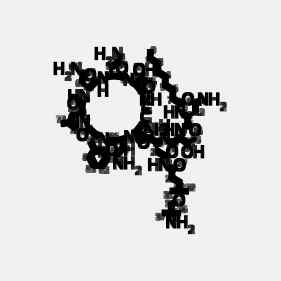 CCCCCCCCC(=O)N[C@@H](CCN)C(=O)N[C@H](C(=O)N[C@@H](CCNC(=O)CCC(C)(C)OCC(C)(C)N)C(=O)N[C@H]1CCNC(=O)[C@H]([C@@H](C)O)NC(=O)[C@H](CCN)NC(=O)[C@H](CCN)NC(=O)[C@H](CC(C)C)NC(=O)[C@@H](Cc2ccccc2)NC(=O)[C@H](CCN)NC1=O)[C@@H](C)O